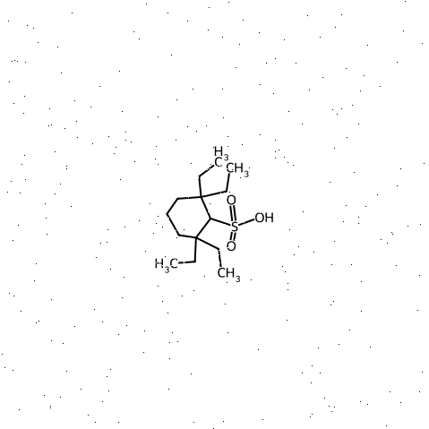 CCC1(CC)CCCC(CC)(CC)C1S(=O)(=O)O